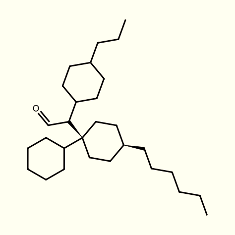 CCCCCC[C@H]1CC[C@@](C2CCCCC2)(C(C=O)C2CCC(CCC)CC2)CC1